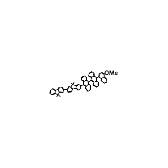 COc1ccc(-c2c3ccccc3c(-c3c4ccccc4c(-c4ccc5c(c4)C(C)(C)c4cc(-c6ccc7c(c6)C(C)(C)c6ccccc6-7)ccc4-5)c4ccccc34)c3ccccc23)c2ccccc12